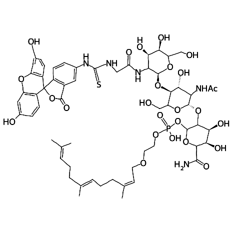 CC(=O)NC1[C@H](OC2C(OP(=O)(O)OCCOC/C=C(/C)CC/C=C(\C)CCC=C(C)C)OC(C(N)=O)[C@H](O)[C@@H]2O)OC(CO)[C@@H](O[C@@H]2OC(CO)[C@H](O)[C@H](O)C2NC(=O)CNC(=S)Nc2ccc3c(c2)C(=O)OC32c3ccc(O)cc3Oc3cc(O)ccc32)[C@@H]1O